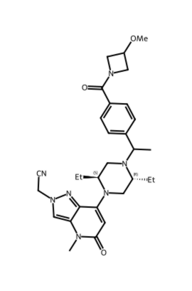 CC[C@H]1CN(C(C)c2ccc(C(=O)N3CC(OC)C3)cc2)[C@H](CC)CN1c1cc(=O)n(C)c2cn(CC#N)nc12